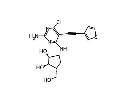 Nc1nc(Cl)c(C#Cc2ccsc2)c(N[C@@H]2C[C@H](CO)[C@@H](O)[C@H]2O)n1